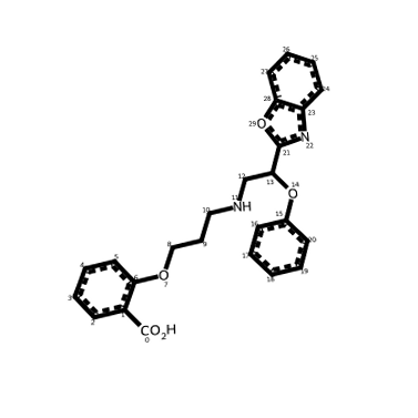 O=C(O)c1ccccc1OCCCNCC(Oc1ccccc1)c1nc2ccccc2o1